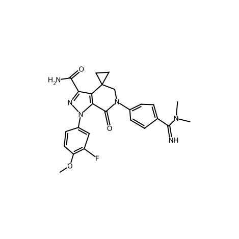 COc1ccc(-n2nc(C(N)=O)c3c2C(=O)N(c2ccc(C(=N)N(C)C)cc2)CC32CC2)cc1F